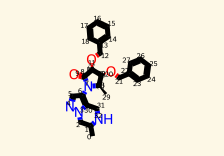 CC1Cn2ncc(N3C(=O)[C@@H](OCc4ccccc4)[C@H](OCc4ccccc4)[C@H]3C)c2CN1